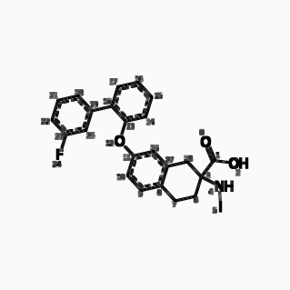 O=C(O)C1(NI)CCc2ccc(Oc3ccccc3-c3cccc(F)c3)cc2C1